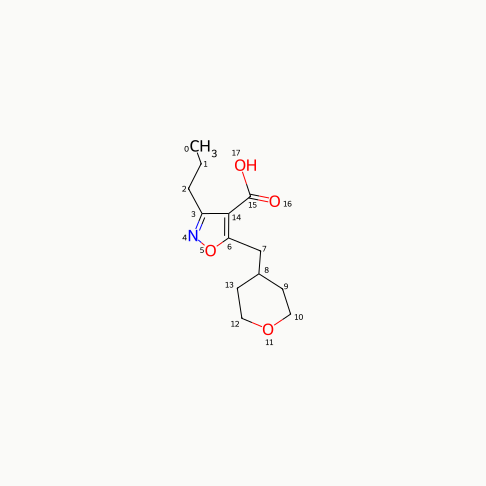 CCCc1noc(CC2CCOCC2)c1C(=O)O